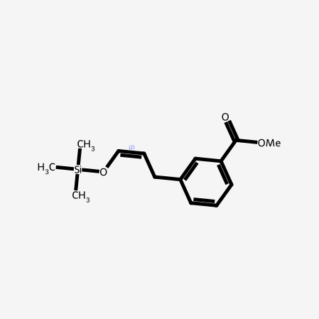 COC(=O)c1cccc(C/C=C\O[Si](C)(C)C)c1